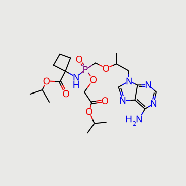 CC(C)OC(=O)COP(=O)(COC(C)Cn1cnc2c(N)ncnc21)NC1(C(=O)OC(C)C)CCC1